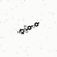 Cc1ccc(OCc2ccc(C(=O)NC3CC(C)(C)NC(C)(C)C3)cc2)cc1